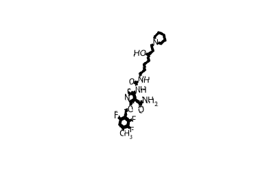 Cc1cc(F)c(COc2nsc(NC(=O)NCCCCC(O)CCN3CCCCC3)c2C(N)=O)c(F)c1F